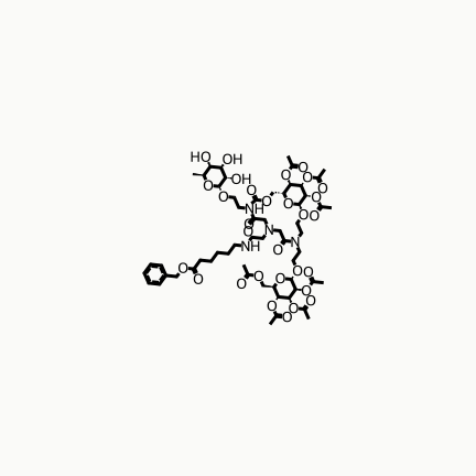 CC(=O)OC[C@H]1O[C@H](OCCN(CCO[C@H]2O[C@H](COC(C)=O)[C@@H](OC(C)=O)[C@H](OC(C)=O)[C@@H]2OC(C)=O)C(=O)CN(CC(=O)NCCCCCC(=O)OCc2ccccc2)CC(=O)NCCO[C@@H]2O[C@@H](C)[C@@H](O)[C@@H](O)[C@@H]2O)[C@@H](OC(C)=O)[C@@H](OC(C)=O)[C@@H]1OC(C)=O